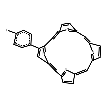 Fc1ccc(C2=CC3=CC4=NC(=CC5=NC(=CC6=NC(=CC2=N3)C=C6)C=C5)C=C4)cc1